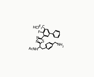 CC(=O)NC(Cc1ccc(CN)cc1)c1nnc(-c2cc(-c3ccccc3)cc(C(F)(F)F)c2F)s1.Cl